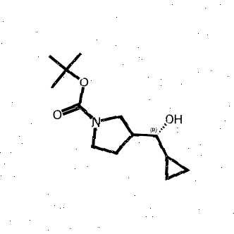 CC(C)(C)OC(=O)N1CCC([C@H](O)C2CC2)C1